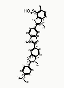 Cc1ccc2c(sc(-c3ccc4c(c3)sc(-c3ccc5c(c3)SC(c3ccc(N(C)C)cc3)N5C)[n+]4C)[n+]2C)c1S(=O)(=O)O